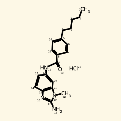 CCCCCc1ccc(C(=O)Nc2ccc3nc(N)n(C)c3c2)cc1.Cl